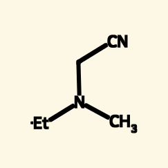 C[CH]N(C)CC#N